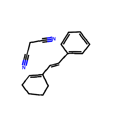 C(=Cc1ccccc1)C1=CCCCC1.N#CCC#N